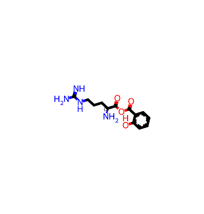 N=C(N)NCCC[C@H](N)C(=O)OC(=O)c1ccccc1O